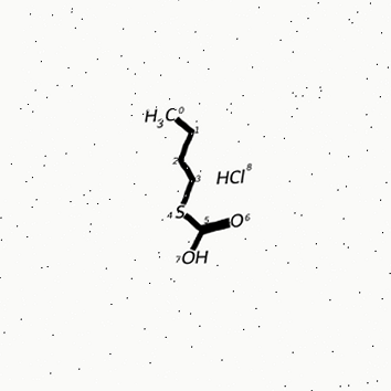 CCCCSC(=O)O.Cl